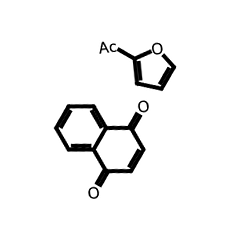 CC(=O)c1ccco1.O=C1C=CC(=O)c2ccccc21